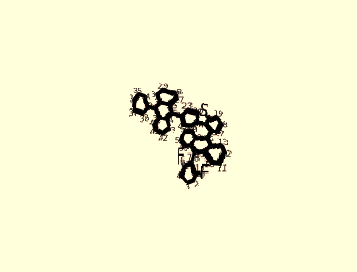 Fc1cccc(F)c1-c1c2ccccc2c(-c2cccc3sc4cc(-c5c6ccccc6c(-c6ccccc6)c6ccccc56)ccc4c23)c2ccccc12